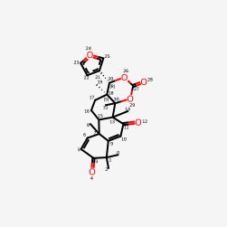 CC1(C)C(=O)C=CC2(C)C1=CC(=O)C1(C)C2CC[C@@]2(C)[C@H](c3ccoc3)OC(=O)OC12C